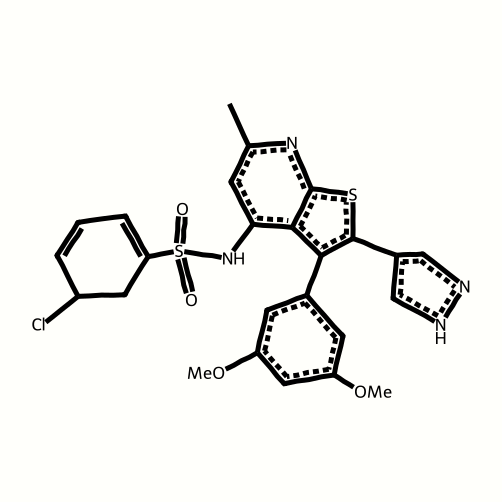 COc1cc(OC)cc(-c2c(-c3cn[nH]c3)sc3nc(C)cc(NS(=O)(=O)C4=CC=CC(Cl)C4)c23)c1